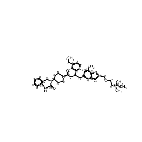 CCc1ccnc(C(CC(=O)N2CCC(N3Cc4ccccc4NC3=O)CC2)Cc2cc(C)c3nn(COCC[Si](C)(C)C)cc3c2)c1